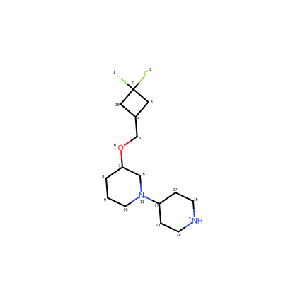 FC1(F)CC(COC2CCCN(C3CCNCC3)C2)C1